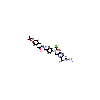 CC(=O)[C@H](Cc1ccc(OC(C)(C)C)cc1)NC(=O)c1ccc(N(CC2=NC3C(=O)NC(N)=NC3N=C2)C(=O)C(F)(F)F)cc1